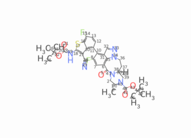 C[C@@H]1CN2C(=O)c3cc(F)c(-c4ccc(F)c5sc(NC(=O)OC(C)(C)C)c(C#N)c45)c4cnn(c34)CC[C@@H]2CN1C(=O)OC(C)(C)C